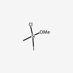 CO[Si](C)(Cl)I